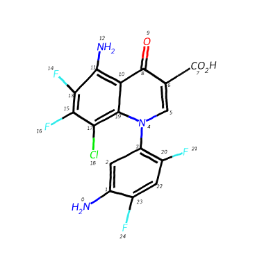 Nc1cc(-n2cc(C(=O)O)c(=O)c3c(N)c(F)c(F)c(Cl)c32)c(F)cc1F